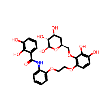 O=C(Nc1ccccc1OCCOc1ccc(O)c(O)c1OC[C@@H]1C[C@H](O)[C@@H](O)[C@H](O)O1)c1cccc(O)c1O